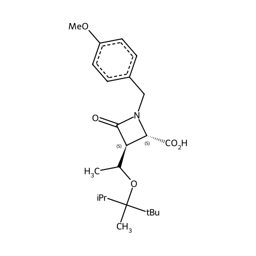 COc1ccc(CN2C(=O)[C@H](C(C)OC(C)(C(C)C)C(C)(C)C)[C@H]2C(=O)O)cc1